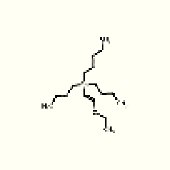 CCCC[CH2][Sn]([CH]=COCC)([CH2]CCC)[CH2]CCC